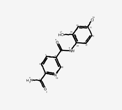 NC(=O)c1ccc(C(=O)Nc2ccc(Cl)cc2O)cn1